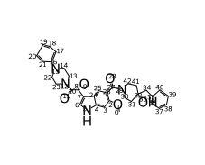 COc1cc2[nH]cc(C(=O)C(=O)N3CCN(c4ccccc4)CC3)c2cc1C(=O)N1CCC(O)(Cc2ccccc2)CC1